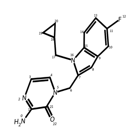 Nc1nccn(Cc2cc3cc(F)ccc3n2CC2CC2)c1=O